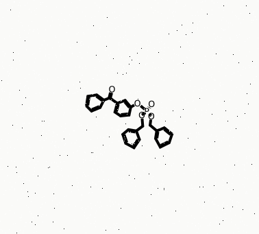 O=C(c1ccccc1)c1cccc(OP(=O)(OCc2ccccc2)OCc2ccccc2)c1